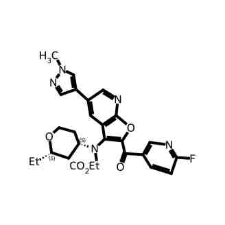 CCOC(=O)N(c1c(C(=O)c2ccc(F)nc2)oc2ncc(-c3cnn(C)c3)cc12)[C@H]1CCO[C@@H](CC)C1